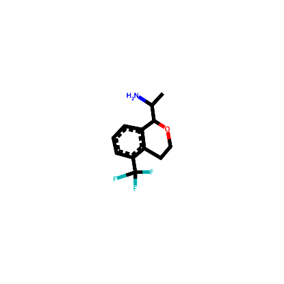 CC(N)C1OCCc2c1cccc2C(F)(F)F